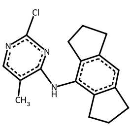 Cc1cnc(Cl)nc1Nc1c2c(cc3c1CCC3)CCC2